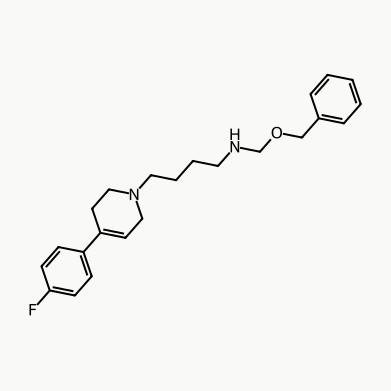 Fc1ccc(C2=CCN(CCCCNCOCc3ccccc3)CC2)cc1